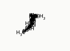 COCCOC(=O)Nc1ccc(-c2[nH]c([C@@H]3CCc4nc(-c5cc(C)ccc5-n5cnnn5)cc(=O)n43)nc2Cl)cc1